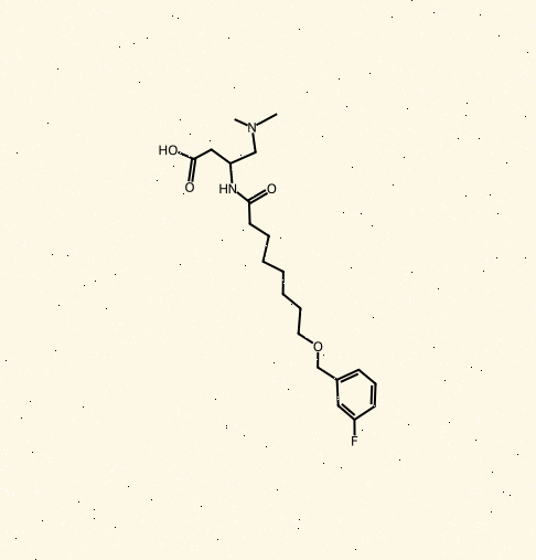 CN(C)CC(CC(=O)O)NC(=O)CCCCCCCOCc1cccc(F)c1